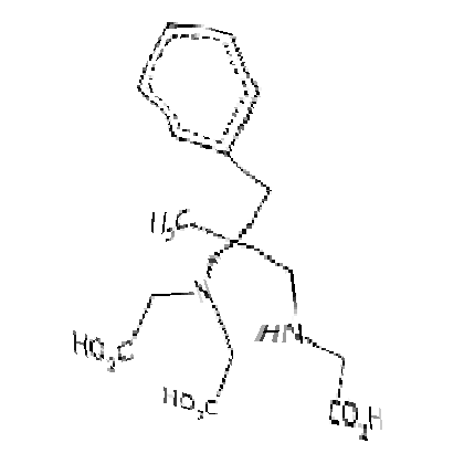 CC(CNCC(=O)O)(Cc1ccccc1)N(CC(=O)O)CC(=O)O